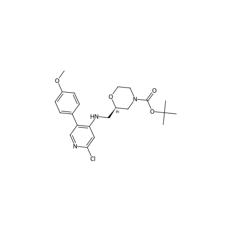 COc1ccc(-c2cnc(Cl)cc2NC[C@@H]2CN(C(=O)OC(C)(C)C)CCO2)cc1